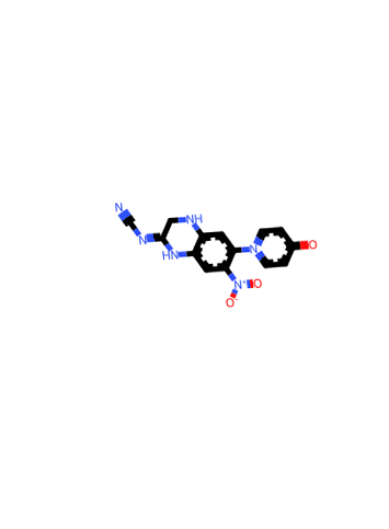 N#CN=C1CNc2cc(-n3ccc(=O)cc3)c([N+](=O)[O-])cc2N1